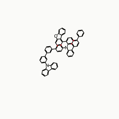 c1ccc(-c2ccc(-c3ccccc3N(c3ccc(-c4cccc(-c5cccc(-n6c7ccccc7c7ccccc76)c5)c4)cc3)c3ccccc3-c3cccc4oc5ccccc5c34)cc2)cc1